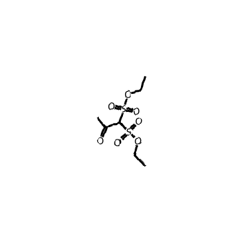 CCOS(=O)(=O)C(C(C)=O)S(=O)(=O)OCC